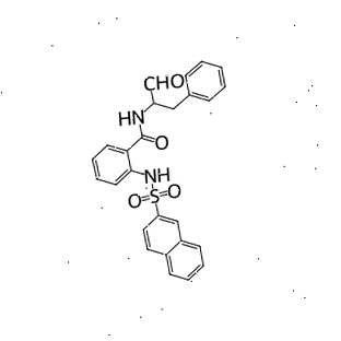 O=CC(Cc1ccccc1)NC(=O)c1ccccc1NS(=O)(=O)c1ccc2ccccc2c1